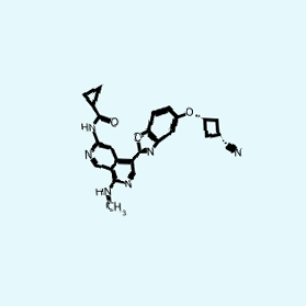 CNc1ncc(-c2nc3cc(O[C@H]4C[C@@H](C#N)C4)ccc3o2)c2cc(NC(=O)C3CC3)ncc12